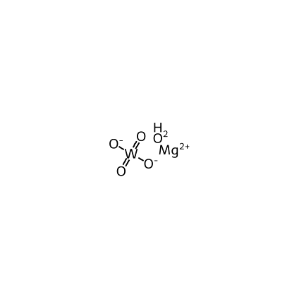 O.[Mg+2].[O]=[W](=[O])([O-])[O-]